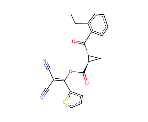 CCc1ccccc1C(=O)[C@@H]1C[C@H]1C(=O)OC(=C(C#N)C#N)c1cccs1